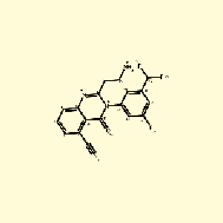 N#Cc1cccc2nc(CCN)n(-c3cc(F)cc(C(F)F)c3)c(=O)c12